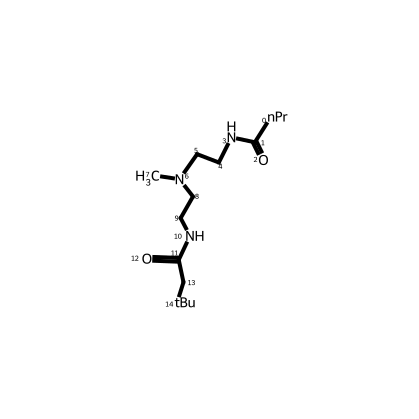 CCCC(=O)NCCN(C)CCNC(=O)CC(C)(C)C